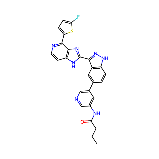 CCCC(=O)Nc1cncc(-c2ccc3[nH]nc(-c4nc5c(-c6ccc(F)s6)nccc5[nH]4)c3c2)c1